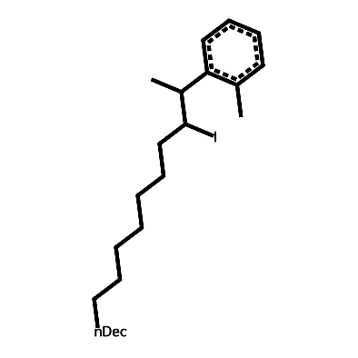 CCCCCCCCCCCCCCCCCC(I)C(C)c1ccccc1C